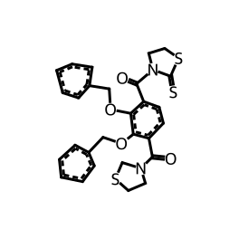 O=C(c1ccc(C(=O)N2CCSC2=S)c(OCc2ccccc2)c1OCc1ccccc1)N1CCSC1